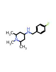 CC1CC(NCc2ccc(F)cc2)CC(C)N1C